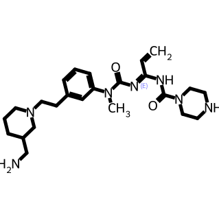 C=C/C(=N\C(=O)N(C)c1cccc(CCN2CCCC(CN)C2)c1)NC(=O)N1CCNCC1